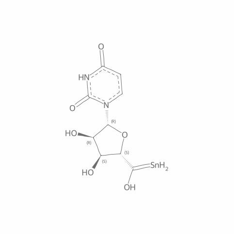 O=c1ccn([C@@H]2O[C@H]([C](O)=[SnH2])[C@@H](O)[C@H]2O)c(=O)[nH]1